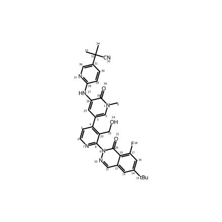 Cn1cc(-c2ccnc(-n3ncc4cc(C(C)(C)C)cc(F)c4c3=O)c2CO)cc(Nc2ccc(C(C)(C)C#N)cn2)c1=O